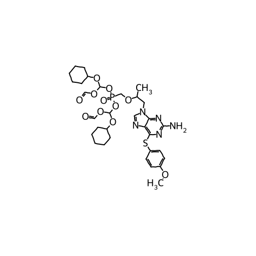 COc1ccc(Sc2nc(N)nc3c2ncn3CC(C)OCP(=O)(OC(OC=O)OC2CCCCC2)OC(OC=O)OC2CCCCC2)cc1